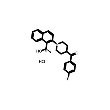 C[C@@H](O)c1c(N2CCC(C(=O)c3ccc(F)cc3)CC2)ccc2ccccc12.Cl